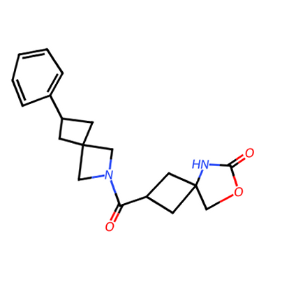 O=C1NC2(CO1)CC(C(=O)N1CC3(CC(c4ccccc4)C3)C1)C2